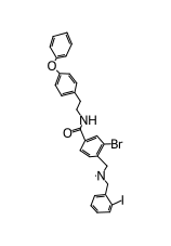 O=C(NCCc1ccc(Oc2ccccc2)cc1)c1ccc(C[N]Cc2ccccc2I)c(Br)c1